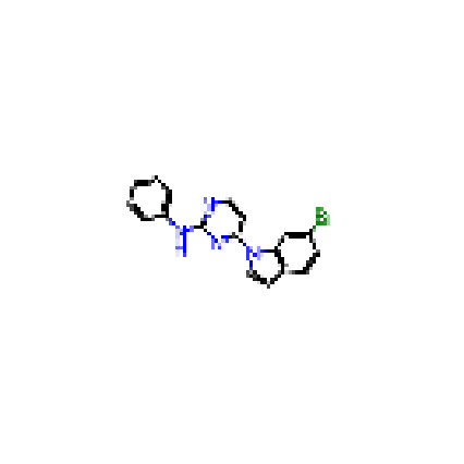 Brc1ccc2ccn(-c3ccnc(Nc4ccccc4)n3)c2c1